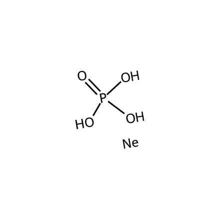 O=P(O)(O)O.[Ne]